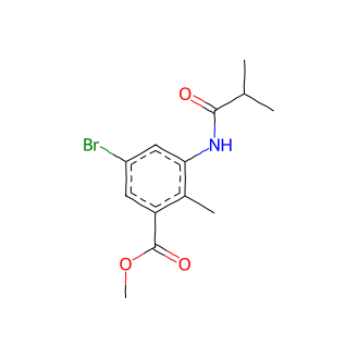 COC(=O)c1cc(Br)cc(NC(=O)C(C)C)c1C